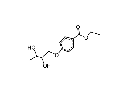 CCOC(=O)c1ccc(OCC(O)C(C)O)cc1